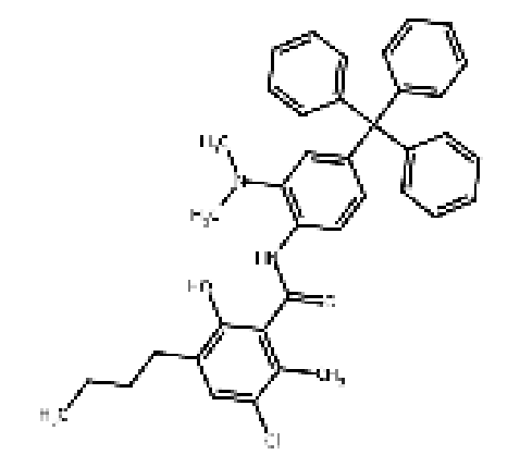 CCCCc1cc(Cl)c(C)c(C(=O)Nc2ccc(C(c3ccccc3)(c3ccccc3)c3ccccc3)cc2N(C)C)c1O